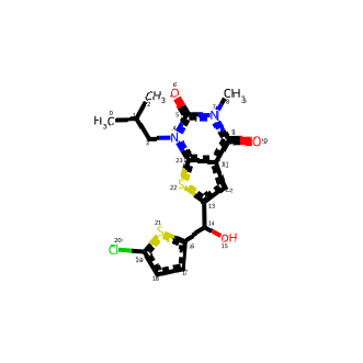 CC(C)Cn1c(=O)n(C)c(=O)c2cc(C(O)c3ccc(Cl)s3)sc21